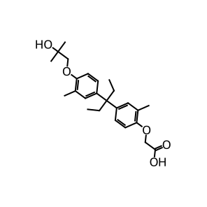 CCC(CC)(c1ccc(OCC(=O)O)c(C)c1)c1ccc(OCC(C)(C)O)c(C)c1